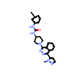 Cc1cccc(NC(=O)NC2CCN(c3nnc(-c4ccnn4C)c4ccccc34)CC2)c1